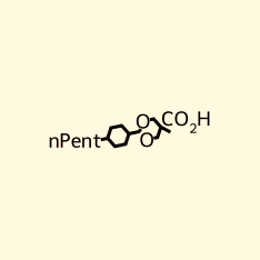 CCCCCC1CCC(C2OCC(C)(C(=O)O)CO2)CC1